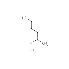 CCCC[C](C)OC